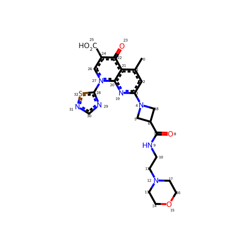 Cc1cc(N2CC(C(=O)NCCN3CCOCC3)C2)nc2c1c(=O)c(C(=O)O)cn2-c1ncns1